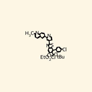 CCOC(=O)[C@@H](OC(C)(C)C)c1c(C)cc2nc(-c3ccnc(-c4ccc5nc(C)ccc5c4)c3)sc2c1-c1ccc(Cl)cc1